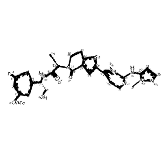 COc1cc(F)cc([C@@H](CO)NC(=O)[C@@H](C)N2CCc3sc(-c4ccnc(Nc5ccnn5C)n4)cc3C2=O)c1